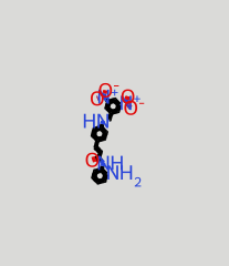 Nc1ccccc1NC(=O)C=Cc1ccc(NCc2cc([N+](=O)[O-])cc([N+](=O)[O-])c2)cc1